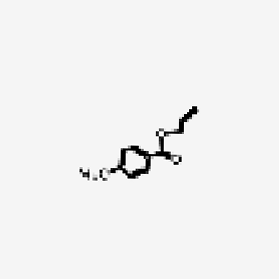 C=CCOC(=O)c1ccc(OC)cc1